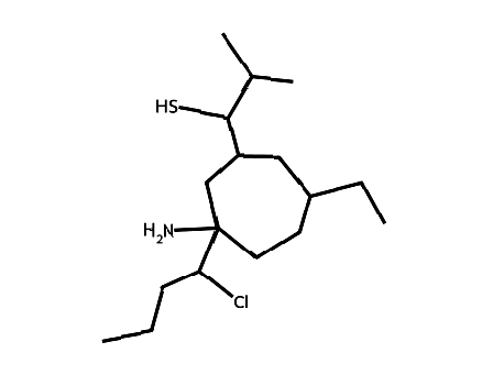 CCCC(Cl)C1(N)CCC(CC)CC(C(S)C(C)C)C1